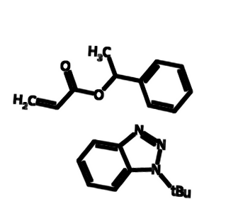 C=CC(=O)OC(C)c1ccccc1.CC(C)(C)n1nnc2ccccc21